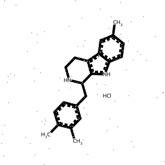 Cc1ccc2[nH]c3c(c2c1)CCNC3Cc1ccc(C)c(C)c1.Cl